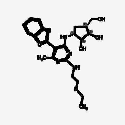 CCOCCNc1nc(C)c(-c2nc3ccccc3o2)c(N[C@@H]2C[C@H](CO)[C@@H](O)[C@H]2O)n1